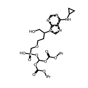 CC(C)OC(=O)OC(OC(=O)OC(C)C)OP(=O)(O)COCCC(CO)n1cnc2c(NC3CC3)ncnc21